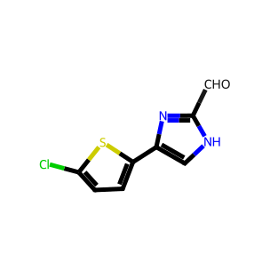 O=Cc1nc(-c2ccc(Cl)s2)c[nH]1